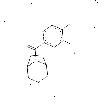 CCOc1cc(C(=O)N2C3CCCC2OC3)ccc1C(=O)O